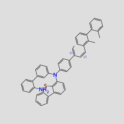 C/C=C(\C=C/c1cccc(-c2ccccc2C)c1C)c1ccc(N(c2cccc(-c3ccccc3N)c2)c2cccc3c2sc2ccccc23)cc1